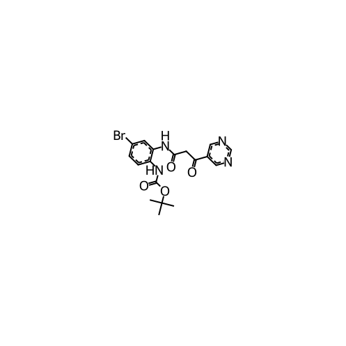 CC(C)(C)OC(=O)Nc1ccc(Br)cc1NC(=O)CC(=O)c1cncnc1